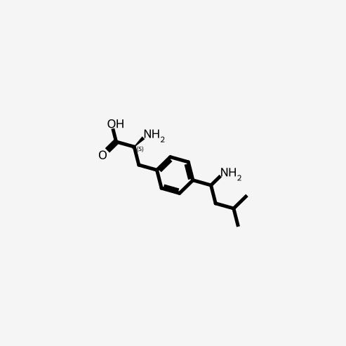 CC(C)CC(N)c1ccc(C[C@H](N)C(=O)O)cc1